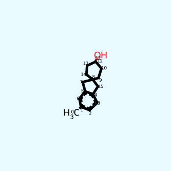 Cc1ccc2c(c1)CC1(CCC(O)CC1)C2